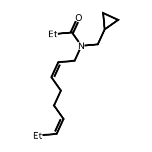 CC/C=C\CC/C=C\CN(CC1CC1)C(=O)CC